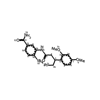 COc1ccc(C(CC(=O)Nc2cc(C(N)=O)ccc2C(C)(C)C)CC(C)C)c(OC)c1